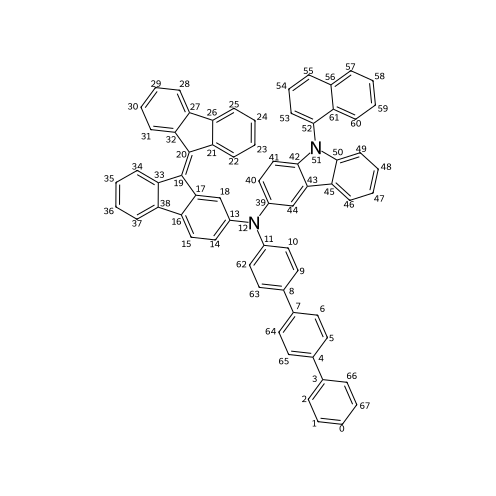 c1ccc(-c2ccc(-c3ccc(N(c4ccc5c(c4)C(=C4c6ccccc6-c6ccccc64)c4ccccc4-5)c4ccc5c(c4)c4ccccc4n5-c4cccc5ccccc45)cc3)cc2)cc1